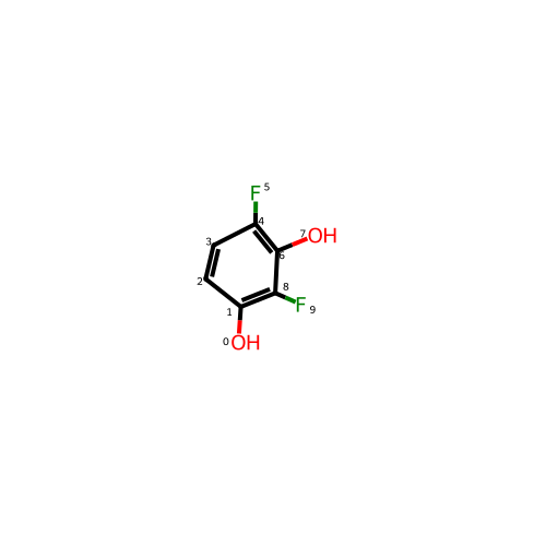 Oc1ccc(F)c(O)c1F